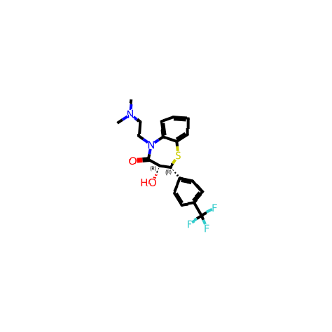 CN(C)CCN1C(=O)[C@@H](O)[C@@H](c2ccc(C(F)(F)F)cc2)Sc2ccccc21